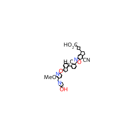 COc1nc(O[C@H]2CCc3c(-c4cccc(-c5nc6cc7c(c(C#N)c6o5)CCC7C5CC(C(=O)O)C5)c4C)cccc32)ccc1CN1CC[C@@H](O)C1